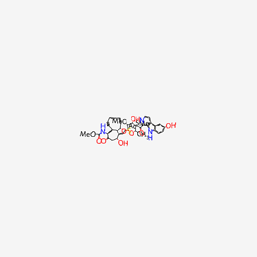 COC(=O)NC1=C2C#C/C=C\C#C[C@H](OC3OC(C)C(SC)(C(=O)c4nccc5c4[nH]c4ccc(O)cc45)C(O)C3OC)C2/C(=C\CSC(C)=O)[C@@H](O)CC1=O